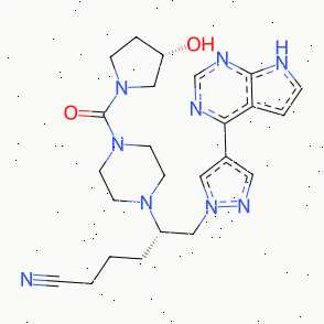 N#CCCC[C@@H](Cn1cc(-c2ncnc3[nH]ccc23)cn1)N1CCN(C(=O)N2CC[C@H](O)C2)CC1